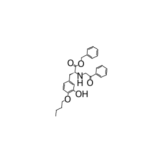 CCCCOc1ccc(C[C@H](NCC(=O)c2ccccc2)C(=O)OCc2ccccc2)cc1O